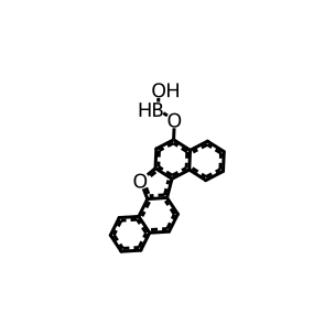 OBOc1cc2oc3c4ccccc4ccc3c2c2ccccc12